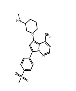 CNC1CCCN(c2cc(-c3ccc(S(C)(=O)=O)cc3)n3ncnc(N)c23)C1